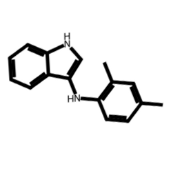 Cc1ccc(Nc2c[nH]c3ccccc23)c(C)c1